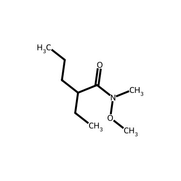 CCCC(CC)C(=O)N(C)OC